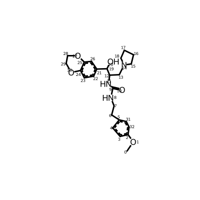 COc1ccc(CCNC(=O)NC(CN2CCCC2)C(O)c2ccc3c(c2)OCCO3)cc1